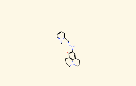 CN(/N=C/c1cccc[n+]1C)c1cc2c3c(c1O)CCCN3CCC2